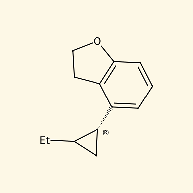 CCC1C[C@H]1c1cccc2c1CCO2